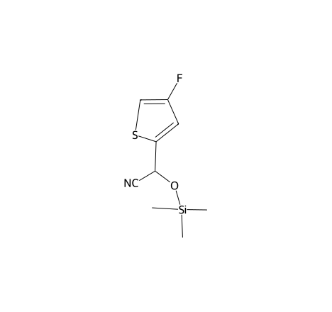 C[Si](C)(C)OC(C#N)c1cc(F)cs1